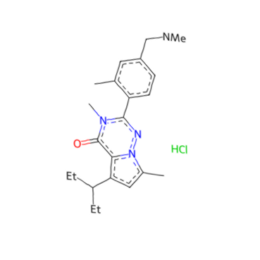 CCC(CC)c1cc(C)n2nc(-c3ccc(CNC)cc3C)n(C)c(=O)c12.Cl